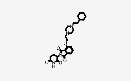 O=C1CCC(N2C(=O)c3cccc(OCCN4CCN(CCC5CCCCC5)CC4)c3C2=O)C(=O)N1